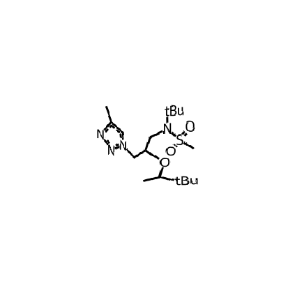 Cc1cn(CC(CN(C(C)(C)C)S(C)(=O)=O)OC(C)C(C)(C)C)nn1